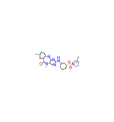 Cc1ccc2c(c1)C(=O)N(C)c1cnc(Nc3cccc(S(=O)(=O)N4CCC[C@H](C)C4)c3)nc1N2C